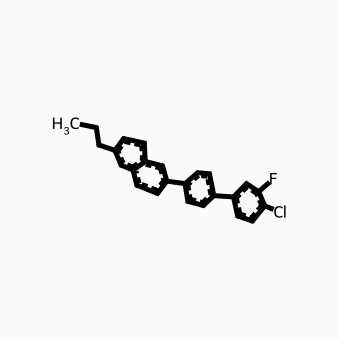 CCCc1ccc2cc(-c3ccc(-c4ccc(Cl)c(F)c4)cc3)ccc2c1